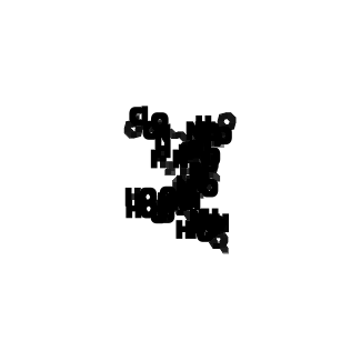 Cc1ccc(S(=O)(=O)NC(=N)NCCC[C@H](NC(=O)[C@@H]2CCCN2C(=O)[C@H](C)NC(=O)[C@@H](NC(=O)[C@H](CC(N)=O)NC(=O)[C@H](CC(=O)OC2CCCCC2)NC(=O)[C@@H](N)CCCCNC(=O)OCc2ccccc2Cl)C(C)C)C(=O)N[C@@H](CO)C(=O)O)cc1